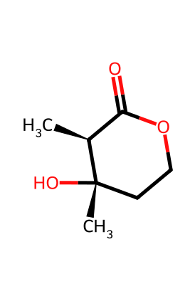 C[C@H]1C(=O)OCC[C@]1(C)O